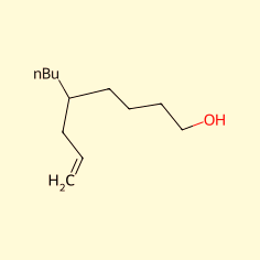 C=CCC(CCCC)CCCCO